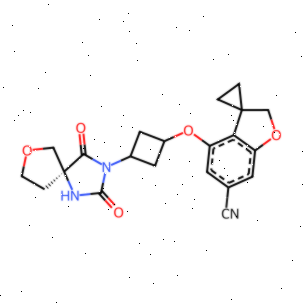 N#Cc1cc2c(c(OC3CC(N4C(=O)N[C@]5(CCOC5)C4=O)C3)c1)C1(CC1)CO2